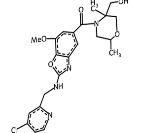 COc1cc(C(=O)N2CC(C)OCC2(C)CO)cc2nc(NCc3cc(Cl)ccn3)oc12